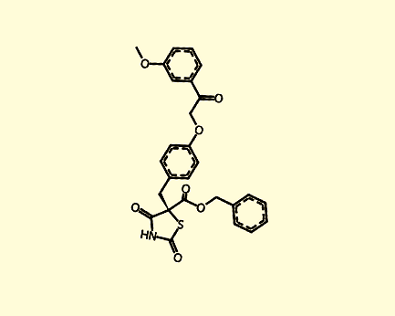 COc1cccc(C(=O)COc2ccc(C[C@@]3(C(=O)OCc4ccccc4)SC(=O)NC3=O)cc2)c1